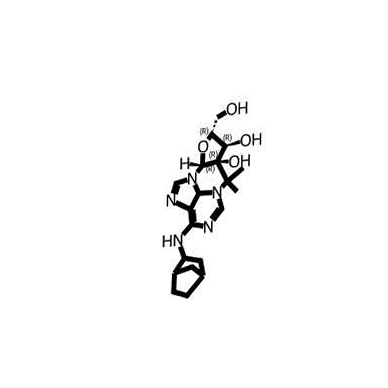 CC1(C)N2C=NC(NC3CC4CCC3C4)=C3N=CN(C32)[C@@H]2O[C@H](CO)[C@@H](O)[C@@]21O